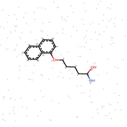 [NH]C(O)CCCCOc1cccc2ccccc12